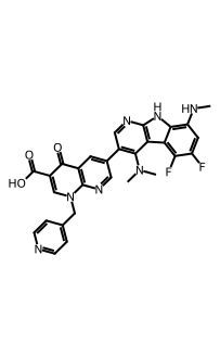 CNc1cc(F)c(F)c2c1[nH]c1ncc(-c3cnc4c(c3)c(=O)c(C(=O)O)cn4Cc3ccncc3)c(N(C)C)c12